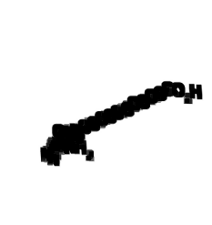 CCCN(Cc1cn(CCOCCOCCOCCOCCOCCOCCOCCOCCOCCOCCC(=O)O)nn1)C(=O)C1=Cc2ccc(-c3cncnc3)cc2N=C(N)C1